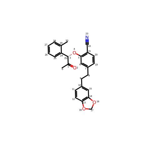 CC(=O)[C@@H](Oc1cc(CCc2ccc3c(c2)OCO3)ccc1C#N)c1ccccc1C